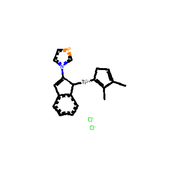 CC1=CC[C]([Ti+2][CH]2C(n3ccpc3)=Cc3ccccc32)=C1C.[Cl-].[Cl-]